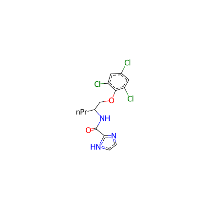 CCCC(COc1c(Cl)cc(Cl)cc1Cl)NC(=O)c1ncc[nH]1